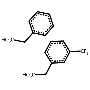 O=C(O)Cc1cccc(C(F)(F)F)c1.O=C(O)Cc1ccccc1